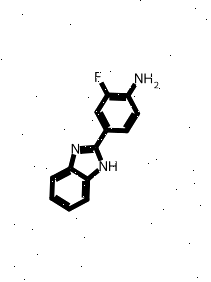 Nc1ccc(-c2nc3ccccc3[nH]2)cc1F